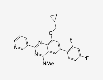 CNc1nc(-c2cccnc2)nc2c(OCC3CC3)cc(-c3ccc(F)cc3F)cc12